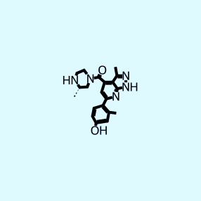 Cc1cc(O)ccc1-c1cc(C(=O)N2CCN[C@@H](C)C2)c2c(C)n[nH]c2n1